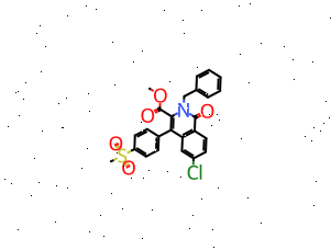 COC(=O)c1c(-c2ccc(S(C)(=O)=O)cc2)c2cc(Cl)ccc2c(=O)n1Cc1ccccc1